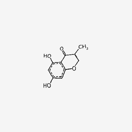 CC1COc2cc(O)cc(O)c2C1=O